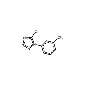 FC(F)(F)c1cccc(-n2nnnc2Cl)c1